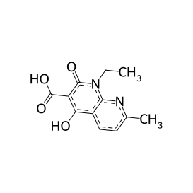 CCn1c(=O)c(C(=O)O)c(O)c2ccc(C)nc21